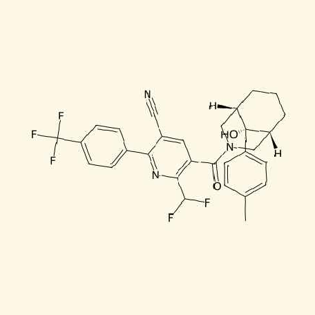 Cc1ccc([C@]2(O)[C@@H]3CCC[C@H]2CN(C(=O)c2cc(C#N)c(-c4ccc(C(F)(F)F)cc4)nc2C(F)F)C3)cc1